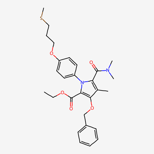 CCOC(=O)c1c(OCc2ccccc2)c(C)c(C(=O)N(C)C)n1-c1ccc(OCCCSC)cc1